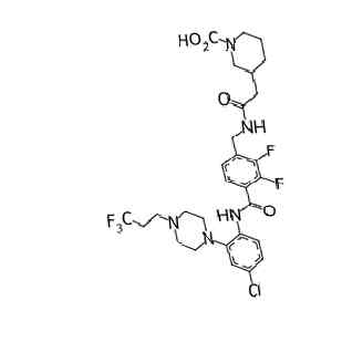 O=C(CC1CCCN(C(=O)O)C1)NCc1ccc(C(=O)Nc2ccc(Cl)cc2N2CCN(CCC(F)(F)F)CC2)c(F)c1F